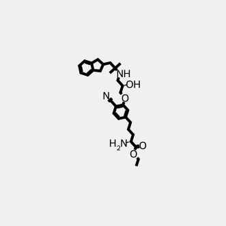 CCOC(=O)[C@H](N)CCCc1ccc(C#N)c(OC[C@@H](O)CNC(C)(C)CC2Cc3ccccc3C2)c1